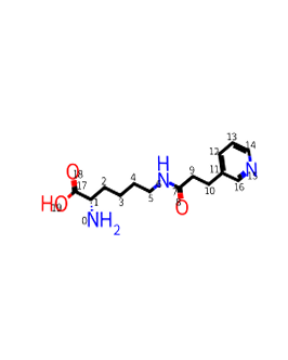 N[C@@H](CCCCNC(=O)CCc1cccnc1)C(=O)O